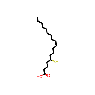 CCCCCCCC/C=C\CCCC(S)CCCC(=O)O